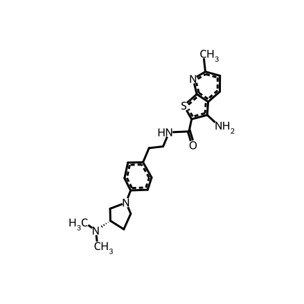 Cc1ccc2c(N)c(C(=O)NCCc3ccc(N4CC[C@H](N(C)C)C4)cc3)sc2n1